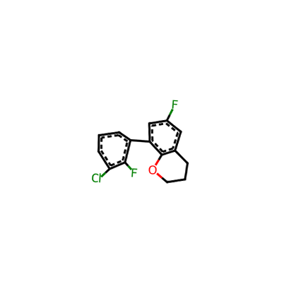 Fc1cc2c(c(-c3cccc(Cl)c3F)c1)OCCC2